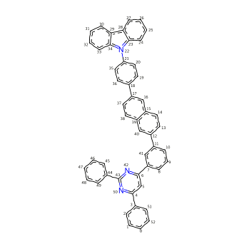 c1ccc(-c2cc(-c3cccc(-c4ccc5cc(-c6ccc(-n7c8ccccc8c8ccccc87)cc6)ccc5c4)c3)nc(-c3ccccc3)n2)cc1